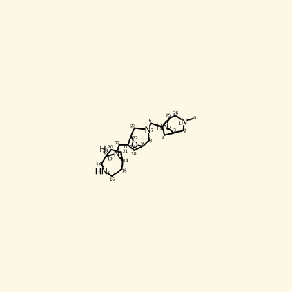 CN1CC2CC(CN3CC4CC(CN5C6CCNC[C@H]5CC6)C(C3)O4)C(C1)N2